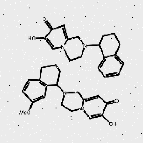 COc1ccc2c(c1)C(N1CCn3cc(O)c(=O)cc3C1)CCC2.O=c1cc2n(cc1O)CCN(C1CCCc3ccccc31)C2